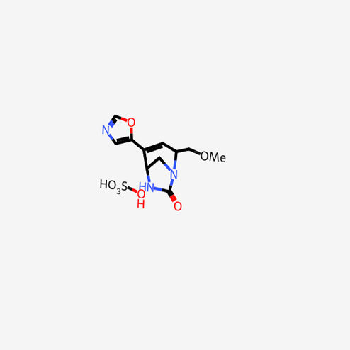 COCC1C=C(c2cnco2)C2CN1C(=O)N2.O=S(=O)(O)O